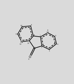 O=C1c2cccnc2-c2cccnc21